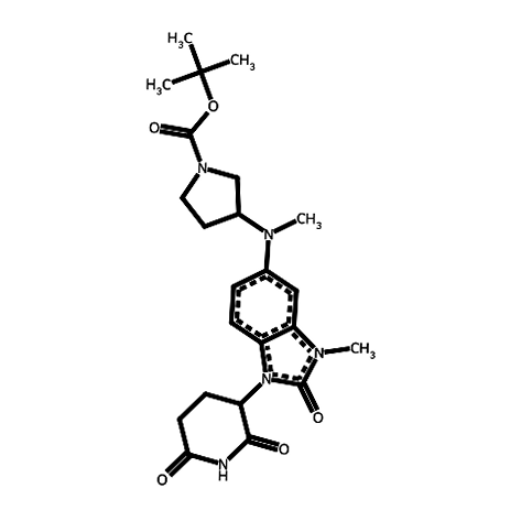 CN(c1ccc2c(c1)n(C)c(=O)n2C1CCC(=O)NC1=O)C1CCN(C(=O)OC(C)(C)C)C1